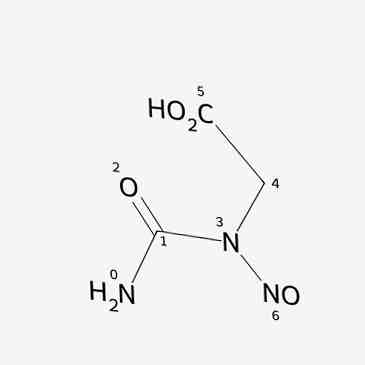 NC(=O)N(CC(=O)O)N=O